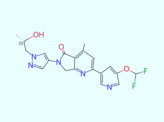 Cc1cc(-c2cncc(OC(F)F)c2)nc2c1C(=O)N(c1cnn(C[C@H](C)O)c1)C2